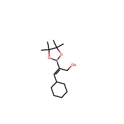 CC1(C)OB(C(=CC2CCCCC2)CO)OC1(C)C